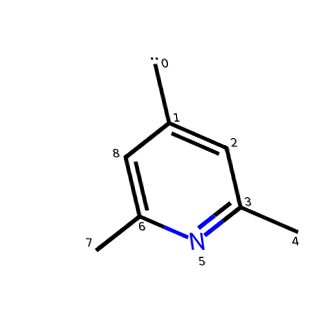 [CH]c1cc(C)nc(C)c1